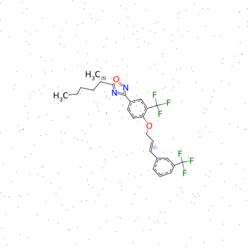 CCCC[C@H](C)c1nc(-c2ccc(OC/C=C/c3cccc(C(F)(F)F)c3)c(C(F)(F)F)c2)no1